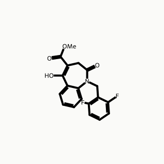 COC(=O)C1=C(O)c2ccccc2N(Cc2c(F)cccc2F)C(=O)C1